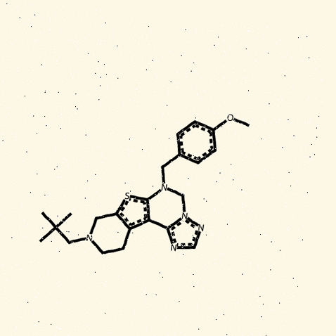 COc1ccc(CN2Cn3ncnc3-c3c2sc2c3CCN(CC(C)(C)C)C2)cc1